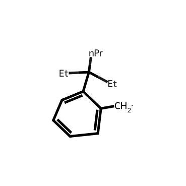 [CH2]c1ccccc1C(CC)(CC)CCC